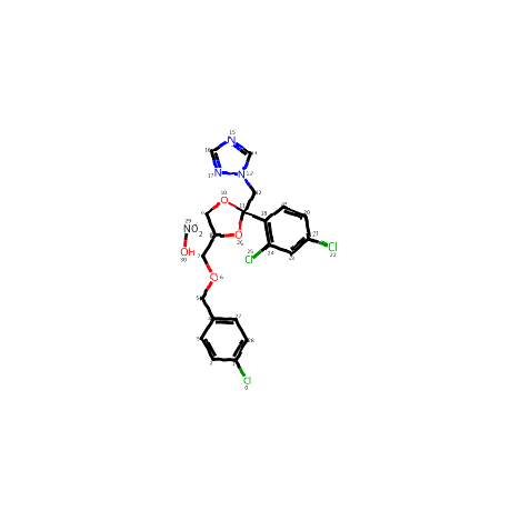 Clc1ccc(COCC2COC(Cn3cncn3)(c3ccc(Cl)cc3Cl)O2)cc1.O=[N+]([O-])O